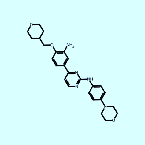 Nc1cc(-c2ccnc(Nc3ccc(N4CCOCC4)cc3)n2)ccc1OCC1CCOCC1